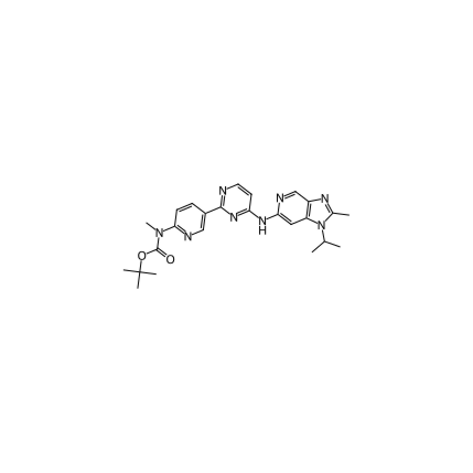 Cc1nc2cnc(Nc3ccnc(-c4ccc(N(C)C(=O)OC(C)(C)C)nc4)n3)cc2n1C(C)C